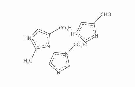 CCOC(=O)n1ccnc1.Cc1nc(C(=O)O)c[nH]1.O=Cc1c[nH]cn1